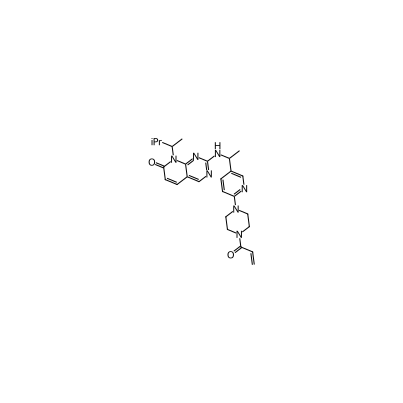 C=CC(=O)N1CCN(c2ccc(C(C)Nc3ncc4ccc(=O)n(C(C)C(C)C)c4n3)cn2)CC1